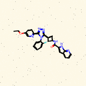 CCOc1ccc(-c2nnc(C3CC(NC(=O)c4cc5cccnc5[nH]4)C3)n2-c2ccccc2F)nc1